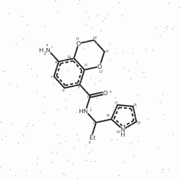 CCC(NC(=O)c1ccc(N)c2c1OCCO2)c1ccc[nH]1